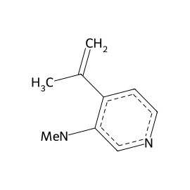 C=C(C)c1ccncc1NC